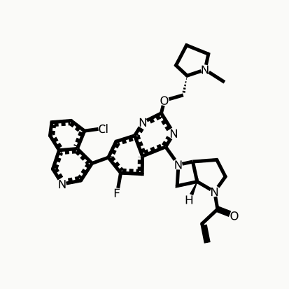 C=CC(=O)N1CCC2[C@H]1CN2c1nc(OC[C@@H]2CCCN2C)nc2cc(-c3cncc4cccc(Cl)c34)c(F)cc12